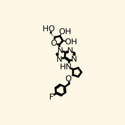 OC[C@H]1OC(n2cnc3c(NC4CCC[C@@H]4OCc4ccc(F)cc4)ncnc32)[C@H](O)[C@@H]1O